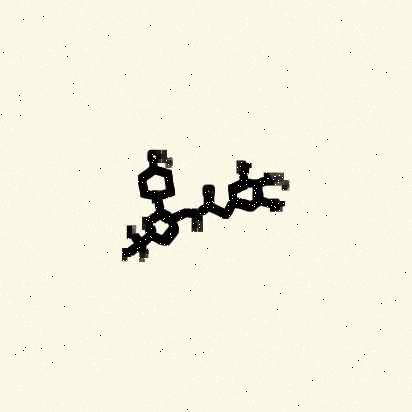 CC1CCN(c2nc(C(F)(F)F)ccc2CNC(=O)Cc2cc(Br)c(N)c(Br)c2)CC1